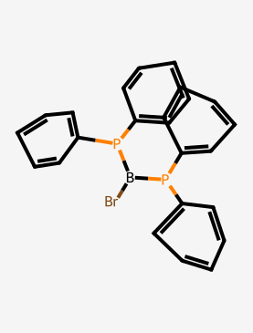 BrB(P(c1ccccc1)c1ccccc1)P(c1ccccc1)c1ccccc1